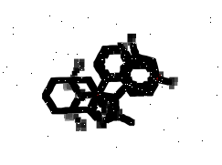 Cn1nc2c(c1-c1cc(F)cc(F)c1)C[C@@H]1CCC[C@H]2N1C(=O)c1ccnc2cnccc12